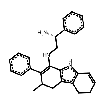 CC1Cc2c([nH]c3c2CCC=C3)C(NC[C@H](N)c2ccccc2)=C1c1ccccc1